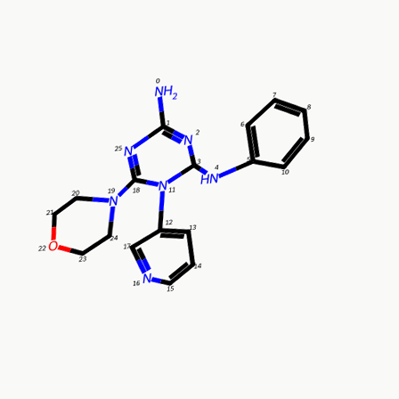 NC1=NC(Nc2ccccc2)N(c2cccnc2)C(N2CCOCC2)=N1